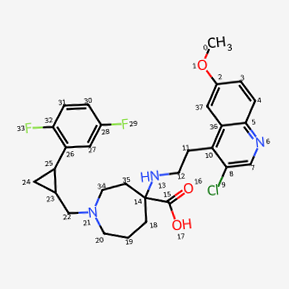 COc1ccc2ncc(Cl)c(CCNC3(C(=O)O)CCCN(CC4CC4c4cc(F)ccc4F)CC3)c2c1